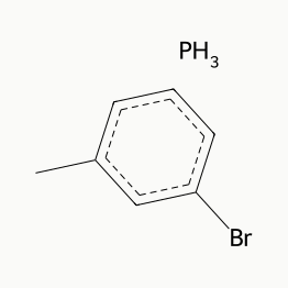 Cc1cccc(Br)c1.P